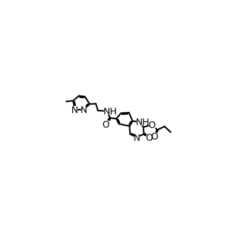 CCC(=O)OC1Nc2ccc(C(=O)NCCc3ccc(C)nn3)cc2C=NC1=O